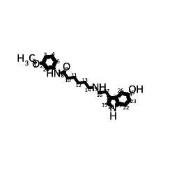 COc1cccc(NC(=O)CCCCCNCCc2c[nH]c3ccc(O)cc23)c1